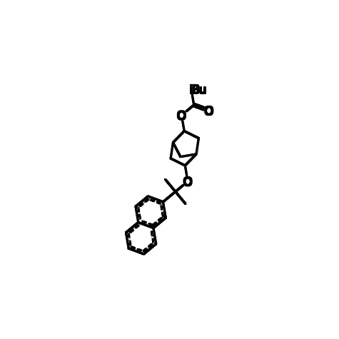 CCC(C)C(=O)OC1CC2CC1CC2OC(C)(C)c1ccc2ccccc2c1